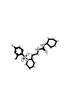 Cc1cc(F)ccc1S(=O)(=O)N1CCCCC1CCNC(=O)NC1CCCCC1